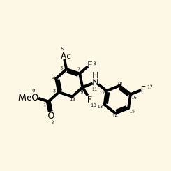 COC(=O)C1=CC(C(C)=O)=C(F)C(F)(Nc2cccc(F)c2)C1